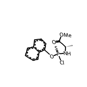 COC(=O)[C@H](C)NP(=S)(Cl)Oc1cccc2ccccc12